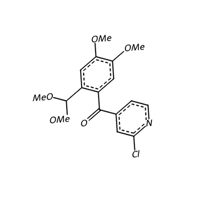 COc1cc(C(=O)c2ccnc(Cl)c2)c(C(OC)OC)cc1OC